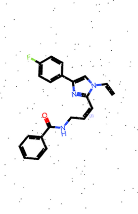 C=Cn1cc(-c2ccc(F)cc2)nc1/C=C\CNC(=O)c1ccccc1